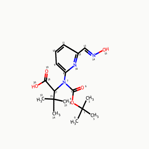 CC(C)(C)OC(=O)N(c1cccc(C=NO)n1)C(C(=O)O)C(C)(C)C